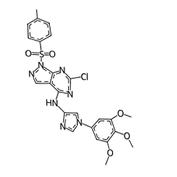 COc1cc(-n2cnc(Nc3nc(Cl)nc4c3cnn4S(=O)(=O)c3ccc(C)cc3)c2)cc(OC)c1OC